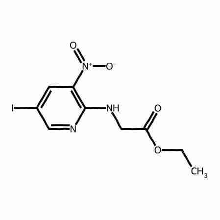 CCOC(=O)CNc1ncc(I)cc1[N+](=O)[O-]